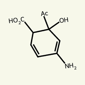 CC(=O)C1(O)C=C(N)C=CC1C(=O)O